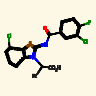 CCC(C(=O)O)n1c(=NC(=O)c2ccc(F)c(Cl)c2)sc2c(Cl)cccc21